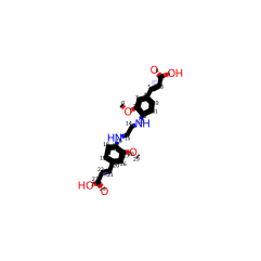 COc1cc(/C=C/C(=O)O)ccc1NCCNc1ccc(/C=C/C(=O)O)cc1OC